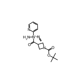 C=N[N+](N)(C(=O)C1CN(C(=O)OC(C)(C)C)C1)c1ccccn1